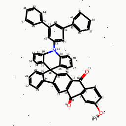 CC(C)Oc1ccc2c(c1)C(=O)c1cc3c(cc1C2=O)C1(c2ccccc2-3)c2ccccc2N(c2cc(-c3ccccc3)cc(-c3ccccc3)c2)c2ccccc21